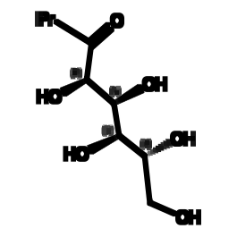 [CH2]C(C)C(=O)[C@H](O)[C@@H](O)[C@H](O)[C@H](O)CO